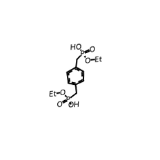 CCOP(=O)(O)Cc1ccc(CP(=O)(O)OCC)cc1